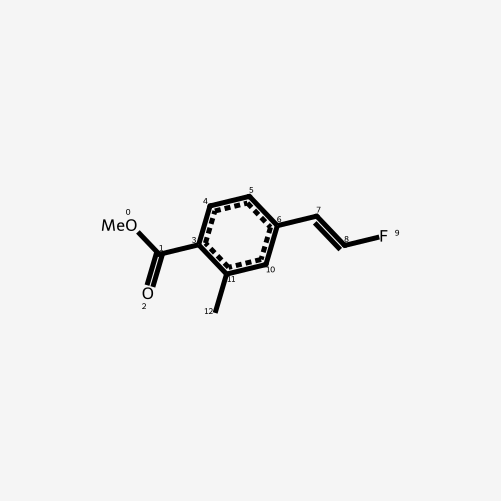 COC(=O)c1ccc(C=CF)cc1C